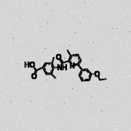 CCOc1cccc(-c2ccc(C)c(C(=O)Nc3c(C)cc(C(=O)O)cc3C)n2)c1